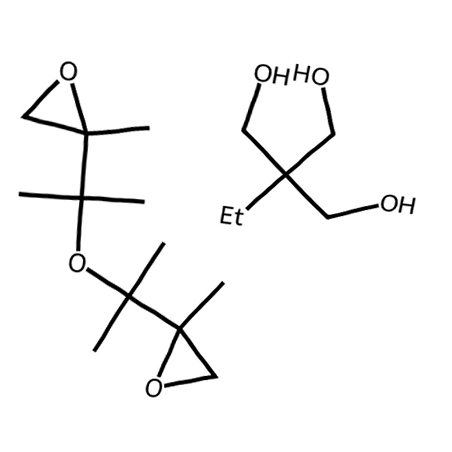 CC(C)(OC(C)(C)C1(C)CO1)C1(C)CO1.CCC(CO)(CO)CO